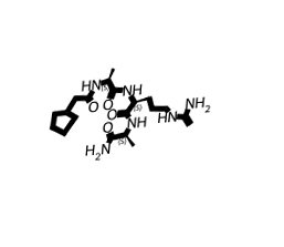 C=C(N)NCCC[C@H](NC(=O)[C@H](C)NC(=O)CC1CCCC1)C(=O)N[C@@H](C)C(N)=O